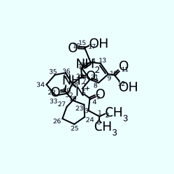 CC(C)CC(=O)[N+](c1cc(C(=O)O)cc(C(=O)O)c1)(C1(C(N)=O)CCCCC1)C1(C(N)=O)CCCCC1